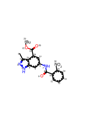 Cc1n[nH]c2cc(NC(=O)c3ccccc3[N+](=O)[O-])cc(C(=O)OC(C)(C)C)c12